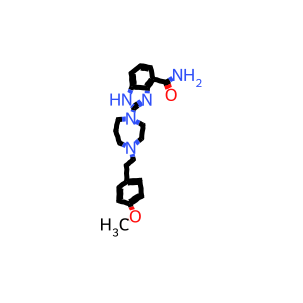 COc1ccc(CCN2CCCN(c3nc4c(C(N)=O)cccc4[nH]3)CC2)cc1